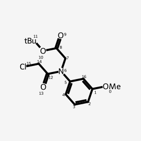 COc1cccc(N(CC(=O)OC(C)(C)C)C(=O)CCl)c1